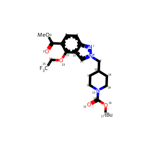 COC(=O)c1ccc2nn(CC3CCN(C(=O)OC(C)(C)C)CC3)cc2c1OCC(F)(F)F